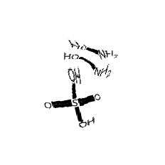 NO.NO.O=S(=O)(O)O